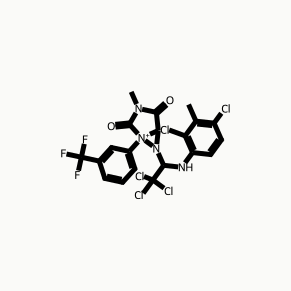 Cc1c(Cl)ccc(NC(N2C3C(=O)N(C)C(=O)[N+]32c2cccc(C(F)(F)F)c2)C(Cl)(Cl)Cl)c1Cl